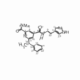 CNC(=O)c1cc(C(=O)NCCc2cn[nH]c2)cc([C@@H](C)c2ccccc2)n1